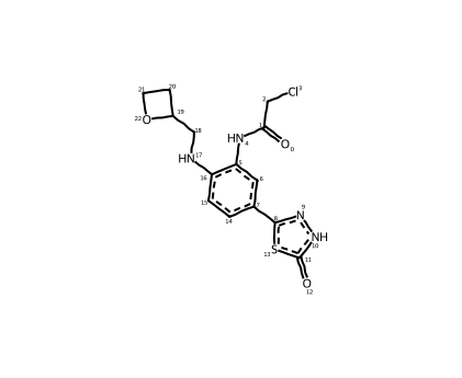 O=C(CCl)Nc1cc(-c2n[nH]c(=O)s2)ccc1NCC1CCO1